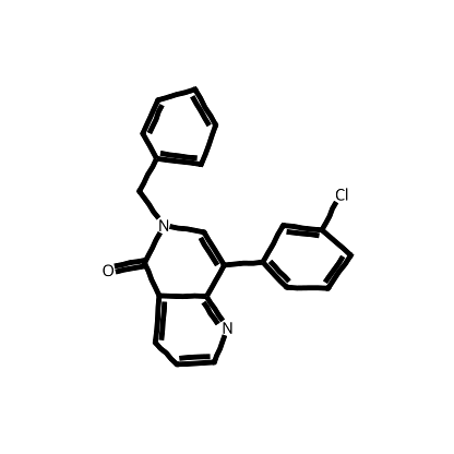 O=c1c2cccnc2c(-c2cccc(Cl)c2)cn1Cc1ccccc1